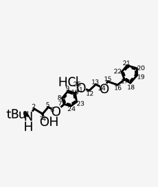 CC(C)(C)NCC(O)COc1ccc(OCCOCCc2ccccc2)cc1.Cl